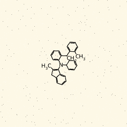 C=C(c1ccccc1C)c1ccccc1N(C1=C(C)Cc2ccccc21)C1C=CC=CC1